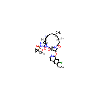 CC[C@H]1CC(=O)N2C[C@H](Oc3nccc4cc(OC)c(F)cc34)C[C@H]2C(=O)N[C@]2(C(=O)NS(=O)(=O)C3(C)CC3)C[C@H]2/C=C\CC[C@H](C)C1